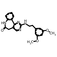 COc1cc(CCNc2ncc3c(n2)-c2ccccc2NC(=O)C3)cc(OC)c1